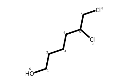 OCCCCC(Cl)CCl